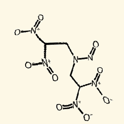 O=NN(CC([N+](=O)[O-])[N+](=O)[O-])CC([N+](=O)[O-])[N+](=O)[O-]